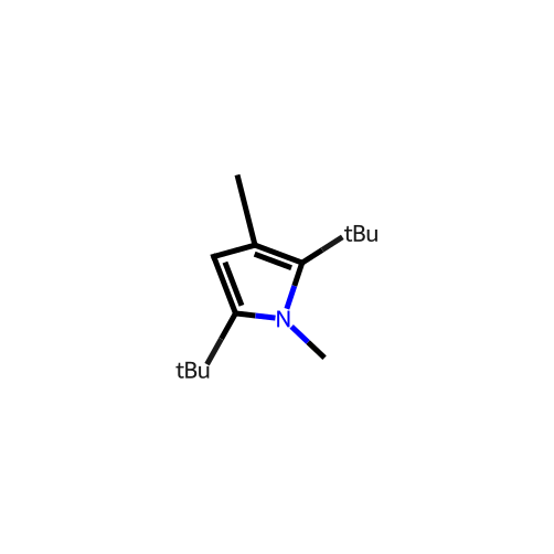 Cc1cc(C(C)(C)C)n(C)c1C(C)(C)C